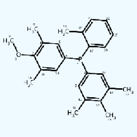 COc1c(C)cc(P(c2cc(C)c(C)c(C)c2)c2ccccc2C)cc1C